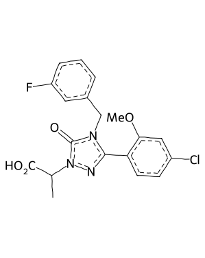 COc1cc(Cl)ccc1-c1nn(C(C)C(=O)O)c(=O)n1Cc1cccc(F)c1